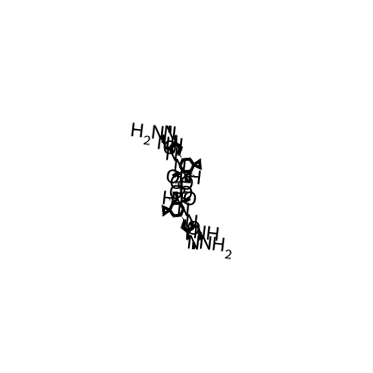 CN(Cc1cc([C@@H]2CC3(CC3)[C@@H]3CN2C(=O)N3OS(=O)(=O)ON2C(=O)N3C[C@H]2C2(CC2)C[C@H]3c2cc(CN(C)C(=N)N)on2)no1)C(=N)N